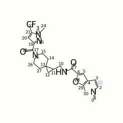 C=N/C=C\c1cc(C(=O)NCC2CC23CCN(C(=O)c2cc(C(F)(F)F)n(C)n2)CC3)oc1C